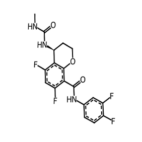 CNC(=O)N[C@H]1CCOc2c(C(=O)Nc3ccc(F)c(F)c3)c(F)cc(F)c21